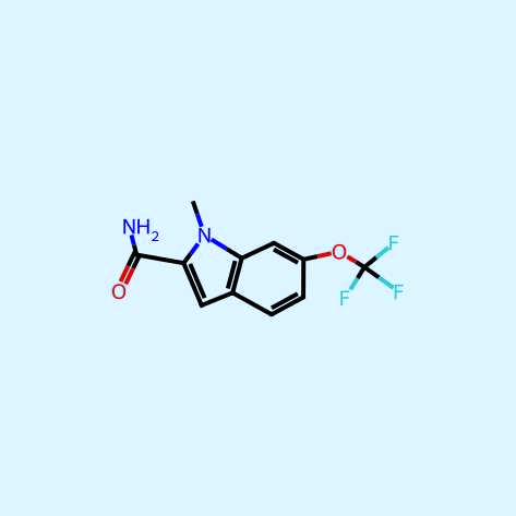 Cn1c(C(N)=O)cc2ccc(OC(F)(F)F)cc21